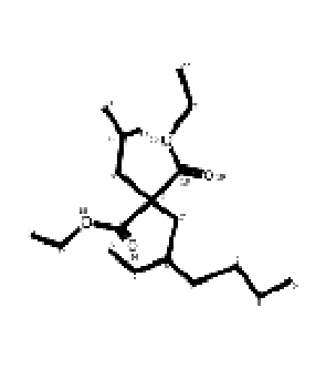 CCCCC(CC)CC(CC(C)C)(C(=O)OCC)C(=O)OCC